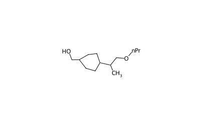 CCCOCC(C)C1CCC(CO)CC1